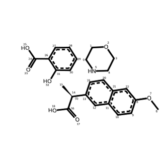 C1COCCN1.COc1ccc2cc([C@H](C)C(=O)O)ccc2c1.O=C(O)c1ccccc1O